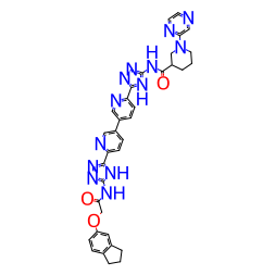 O=C(COc1ccc2c(c1)CCC2)Nc1nnc(-c2ccc(-c3ccc(-c4nnc(NC(=O)C5CCCN(c6cnccn6)C5)[nH]4)nc3)cn2)[nH]1